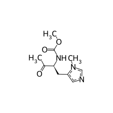 COC(=O)N[C@@H](Cc1cncn1C)C(C)=O